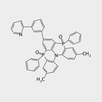 Cc1ccc2c(c1)P(=O)(c1ccccc1)c1cc(-c3cccc(-c4ccccn4)c3)cc3c1N2c1ccc(C)cc1P3(=O)c1ccccc1